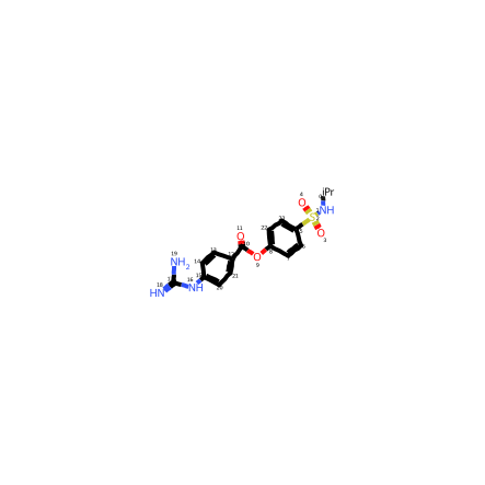 CC(C)NS(=O)(=O)c1ccc(OC(=O)c2ccc(NC(=N)N)cc2)cc1